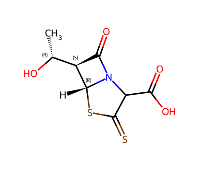 C[C@@H](O)[C@H]1C(=O)N2C(C(=O)O)C(=S)S[C@H]12